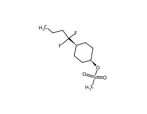 CCCC(F)(F)[C@H]1CC[C@@H](OS(C)(=O)=O)CC1